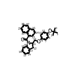 CC(C)(C)Oc1ccc(OCC2Cc3ccccc3N2C(=O)c2cccc3ccccc23)cc1